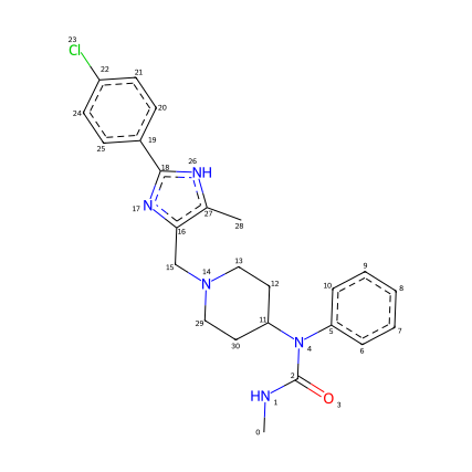 CNC(=O)N(c1ccccc1)C1CCN(Cc2nc(-c3ccc(Cl)cc3)[nH]c2C)CC1